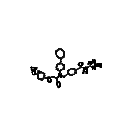 O=C(Nc1nn[nH]n1)c1ccc(CN(C(=O)COc2ccc(OC(F)(F)F)cc2)c2ccc(C3CCCCC3)cc2)cc1